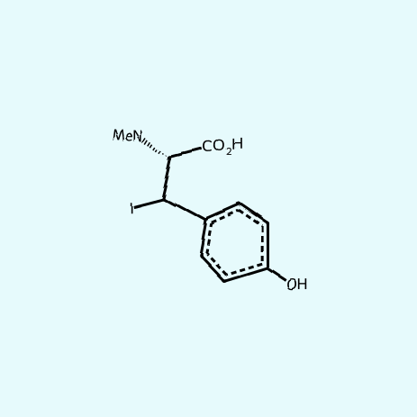 CN[C@H](C(=O)O)C(I)c1ccc(O)cc1